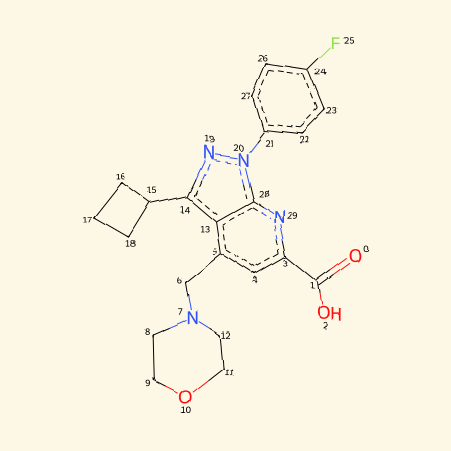 O=C(O)c1cc(CN2CCOCC2)c2c(C3CCC3)nn(-c3ccc(F)cc3)c2n1